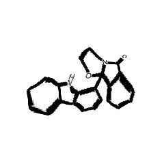 O=C1c2ccccc2C2(c3cccc4c3[nH]c3ccccc34)OCCN12